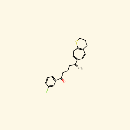 C=C(CCCC(=O)c1cccc(F)c1)C1=CCC2=C(C=C1)CCCS2